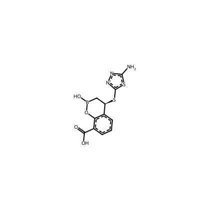 Nc1nnc(S[C@@H]2CB(O)Oc3c(C(=O)O)cccc32)s1